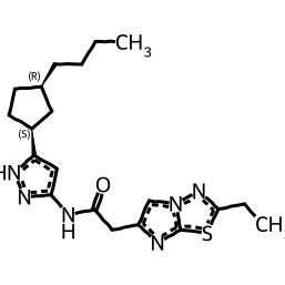 CCCC[C@@H]1CC[C@H](c2cc(NC(=O)Cc3cn4nc(CC)sc4n3)n[nH]2)C1